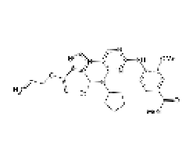 C=CCOC(=O)c1ncn2c1[C@@H](CC)N(C1CCCC1)c1nc(Nc3ccc(C(=O)NC)cc3OC)ncc1-2